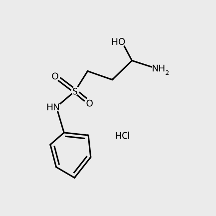 Cl.NC(O)CCS(=O)(=O)Nc1ccccc1